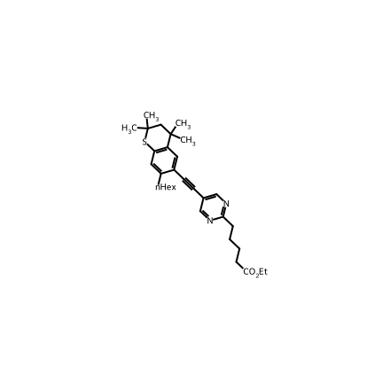 CCCCCCc1cc2c(cc1C#Cc1cnc(CCCCC(=O)OCC)nc1)C(C)(C)CC(C)(C)S2